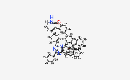 C1=CC(C2=CC=C(c3nc(-c4ccccc4)nc(-c4ccccc4)n3)CC2)=C2c3cc(-c4ccc(C(c5ccccc5)(c5ccccc5)c5ccccc5)cc4)ccc3OC2NC1